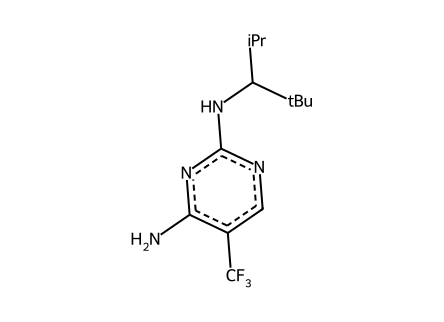 CC(C)C(Nc1ncc(C(F)(F)F)c(N)n1)C(C)(C)C